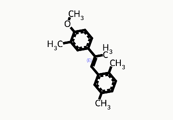 COc1ccc(/C(C)=C/c2cc(C)ccc2C)cc1C